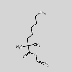 C=COC(=O)C(C)(C)CCCCCC